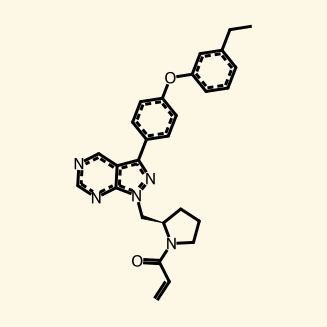 C=CC(=O)N1CCC[C@@H]1Cn1nc(-c2ccc(Oc3cccc(CC)c3)cc2)c2cncnc21